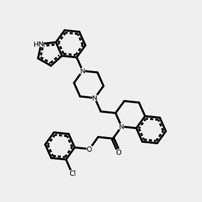 O=C(COc1ccccc1Cl)N1c2ccccc2CCC1CN1CCN(c2cccc3[nH]ccc23)CC1